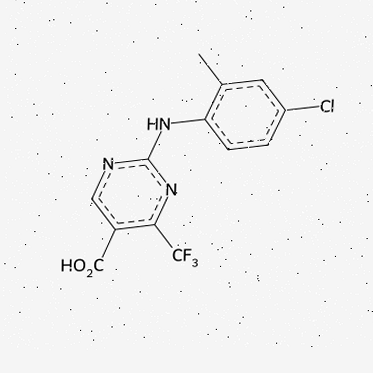 Cc1cc(Cl)ccc1Nc1ncc(C(=O)O)c(C(F)(F)F)n1